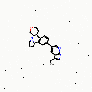 N#CCc1c[nH]c2ncc(-c3ccc(C4CCOCC4)c(C4CCCN4)c3)cc12